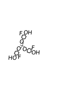 CC(COc1ccc(O)c(F)c1)(COc1ccc(O)c(F)c1)COc1ccc(O)c(F)c1